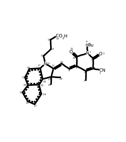 CCCCN1C(=O)C(C#N)=C(C)/C(=C/C=C2/N(CCCC(=O)O)c3ccc4ccccc4c3C2(C)C)C1=O